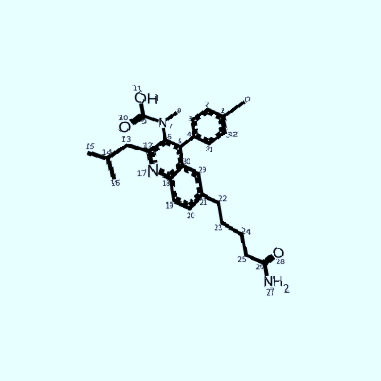 Cc1ccc(-c2c(N(C)C(=O)O)c(CC(C)C)nc3ccc(CCCCC(N)=O)cc23)cc1